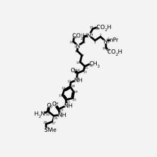 CCCN(CCN(CCN(CCCC(C)CC(=O)NCc1ccc(NC(=O)N[C@@H](CCSC)C(N)=O)cc1)CC(=O)O)CC(=O)O)CC(=O)O